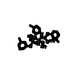 CCCOP(N[PH](N=[PH](OCCC)Oc1cccc(C)c1)(OCCC)Oc1cccc(C)c1)Oc1cccc(C)c1